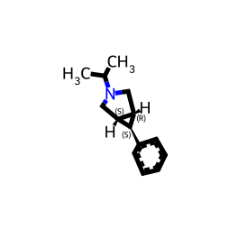 CC(C)N1C[C@@H]2[C@H](C1)[C@H]2c1ccccc1